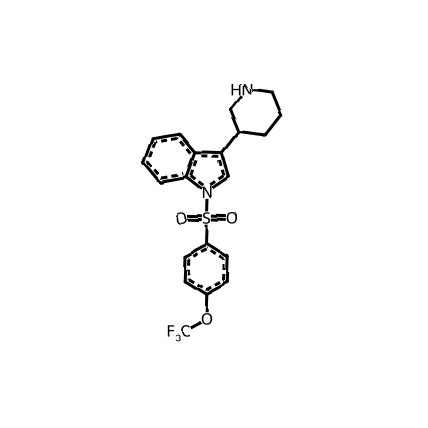 O=S(=O)(c1ccc(OC(F)(F)F)cc1)n1cc(C2CCCNC2)c2ccccc21